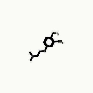 CN(C)CCOc1ccc([AsH2])c([N+](=O)[O-])c1